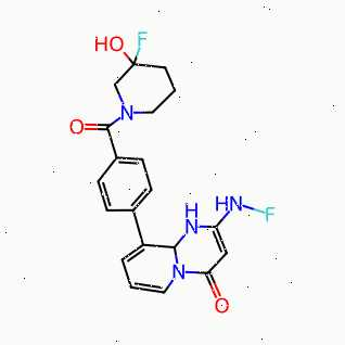 O=C(c1ccc(C2=CC=CN3C(=O)C=C(NF)NC23)cc1)N1CCCC(O)(F)C1